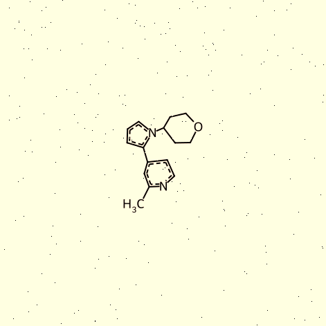 Cc1cc(-c2cccn2C2CCOCC2)ccn1